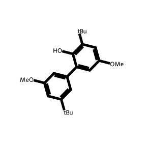 COc1cc(-c2cc(OC)cc(C(C)(C)C)c2O)cc(C(C)(C)C)c1